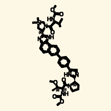 COC(=O)N[C@H](C(=O)N1C[Si](C)(C)C[C@H]1c1nc2ccc3cc(-c4ccc(-c5cnc([C@@H]6CCCN6C(=O)[C@@H](NC(=O)OC)[C@@H](C)OC)[nH]5)cc4)ccc3c2[nH]1)C(C)C